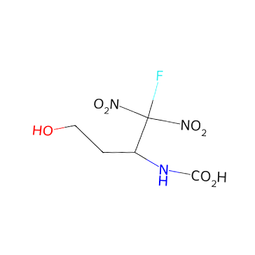 O=C(O)NC(CCO)C(F)([N+](=O)[O-])[N+](=O)[O-]